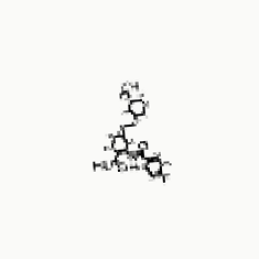 COc1cccc(C=Cc2ccc(C(=O)O)c(NC(=O)c3ccc(F)cc3)c2)c1